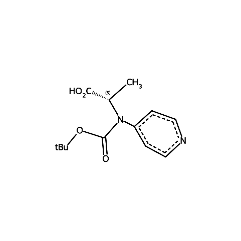 C[C@@H](C(=O)O)N(C(=O)OC(C)(C)C)c1ccncc1